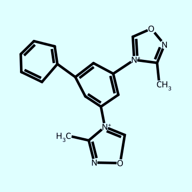 Cc1noc[n+]1-c1cc(-c2ccccc2)cc(-[n+]2conc2C)c1